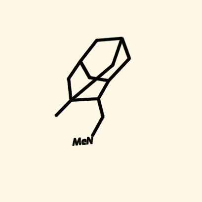 CNCC1C2CC3CC(C2)CC1(C)C3